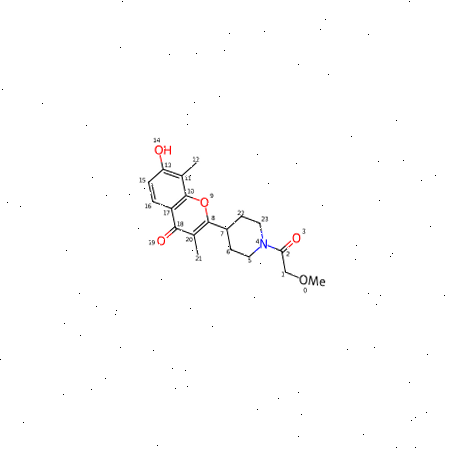 COCC(=O)N1CCC(c2oc3c(C)c(O)ccc3c(=O)c2C)CC1